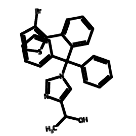 CC(O)c1cn(C(c2ccccc2)(c2ccccc2)c2ccccc2-c2sccc2Br)cn1